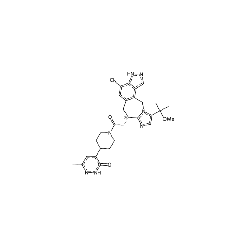 COC(C)(C)c1cnc2n1Cc1c(cc(Cl)c3[nH]ncc13)C[C@H]2CC(=O)N1CCC(c2cc(C)n[nH]c2=O)CC1